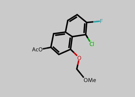 COCOc1cc(OC(C)=O)cc2ccc(F)c(Cl)c12